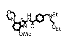 CCOCCN(CC)Cc1ccc(C(=O)Nc2nc3c(OC)ccc(N4CCOCC4)c3s2)cc1